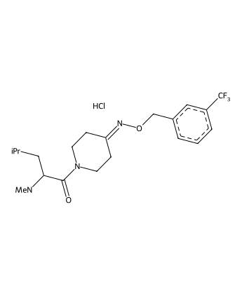 CNC(CC(C)C)C(=O)N1CCC(=NOCc2cccc(C(F)(F)F)c2)CC1.Cl